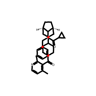 Cc1ccnc(C)c1C(=O)N1CCC(N2C[C@H]3CC[C@@H](C2)C3N(Cc2ccccc2)C(=O)C2CC2)CC1